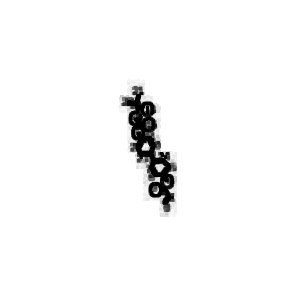 C=CC(=O)Oc1ccc(-c2ccc(OC(=O)OC(=O)C(=C)C)cc2)cc1